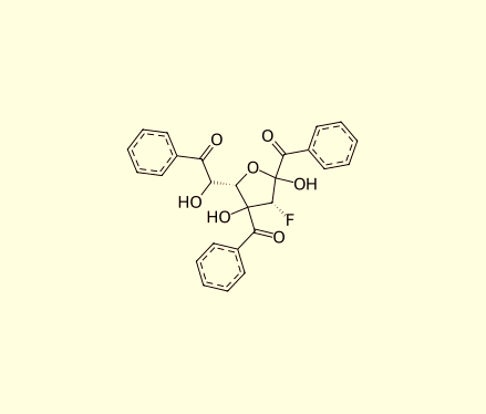 O=C(c1ccccc1)C(O)[C@@H]1OC(O)(C(=O)c2ccccc2)[C@H](F)C1(O)C(=O)c1ccccc1